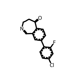 O=C1CCN=Cc2cc(-c3ccc(Cl)cc3F)ccc21